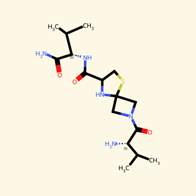 CC(C)[C@H](N)C(=O)N1CC2(C1)NC(C(=O)N[C@H](C(N)=O)C(C)C)CS2